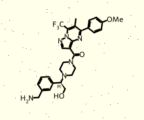 COc1ccc(-c2nc3c(C(=O)N4CCN([C@@H](CO)c5cccc(CN)c5)CC4)cnn3c(C(F)(F)F)c2C)cc1